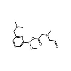 COB(OC(=O)CN(C)CC=O)c1cncc(CN(C)C)n1